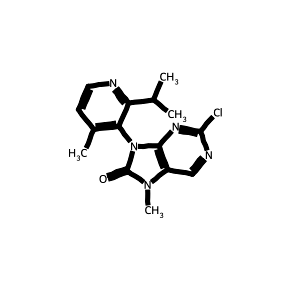 Cc1ccnc(C(C)C)c1-n1c(=O)n(C)c2cnc(Cl)nc21